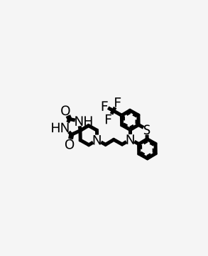 O=C1NC(=O)C2(CCN(CCCN3c4ccccc4Sc4ccc(C(F)(F)F)cc43)CC2)N1